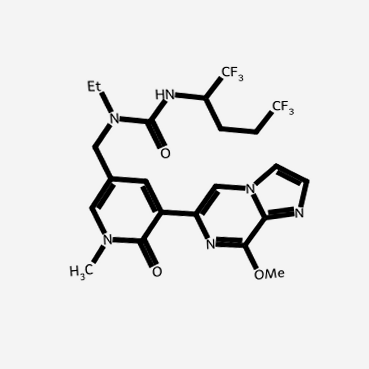 CCN(Cc1cc(-c2cn3ccnc3c(OC)n2)c(=O)n(C)c1)C(=O)NC(CCC(F)(F)F)C(F)(F)F